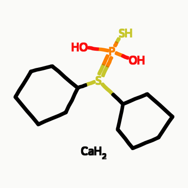 OP(O)(S)=S(C1CCCCC1)C1CCCCC1.[CaH2]